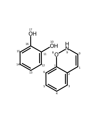 C1=Cc2ccccc2ON1.Oc1ccccc1O